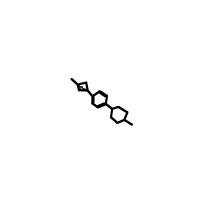 CC1CCC(c2ccc(C34CC(C)(C3)O4)cc2)CC1